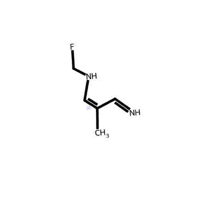 C/C(C=N)=C/NCF